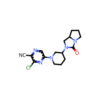 N#Cc1ncc(N2CCCC(N3CC4CCCN4C3=O)C2)nc1Cl